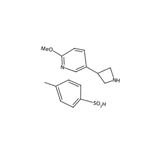 COc1ccc(C2CNC2)cn1.Cc1ccc(S(=O)(=O)O)cc1